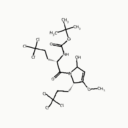 COC1=CC(O)N(C(=O)[C@H](CCC(Cl)(Cl)Cl)NC(=O)OC(C)(C)C)[C@H]1CCC(Cl)(Cl)Cl